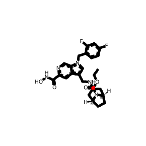 CCOC(=O)N1[C@@H]2CC[C@@H]1CC(NCc1cn(Cc3ccc(F)cc3F)c3cnc(C(=O)NO)cc13)C2